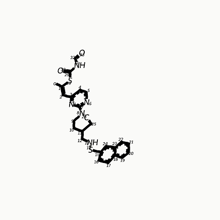 C/C(=C/c1ccnc(N2CCC(CNSc3ccc4ccccc4c3)CC2)n1)SC(=O)NC=O